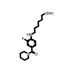 CCCCCCCCCCCCCCCCNc1ccc(C(=O)N2CCCCC2)cc1F